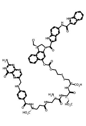 Nc1nc2ncc(CNc3ccc(C(=O)N[C@H](CCC(=O)NC[C@H](N)C(=O)N[C@@H](CC(=O)O)C(=O)N[C@@H](CSSCCOC(=O)Oc4cc5c(c6ccccc46)[C@@H](CCl)CN5C(=O)c4cc5cc(NC(=O)c6cc7ccccc7[nH]6)ccc5[nH]4)C(=O)O)C(=O)O)cc3)nc2c(=O)[nH]1